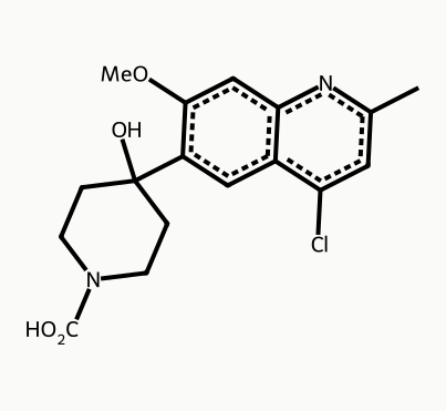 COc1cc2nc(C)cc(Cl)c2cc1C1(O)CCN(C(=O)O)CC1